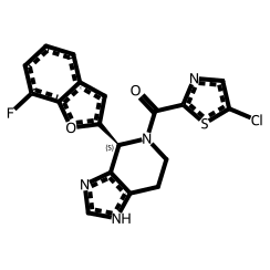 O=C(c1ncc(Cl)s1)N1CCc2[nH]cnc2[C@H]1c1cc2cccc(F)c2o1